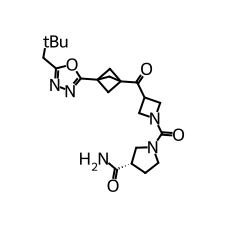 CC(C)(C)Cc1nnc(C23CC(C(=O)C4CN(C(=O)N5CC[C@H](C(N)=O)C5)C4)(C2)C3)o1